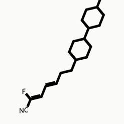 CCC1CCC(C2CCC(CCC=CC=C(F)C#N)CC2)CC1